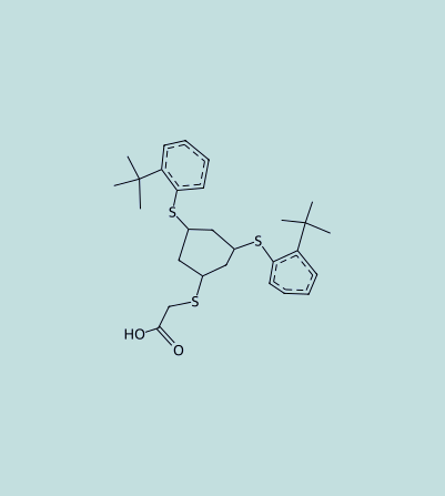 CC(C)(C)c1ccccc1SC1CC(SCC(=O)O)CC(Sc2ccccc2C(C)(C)C)C1